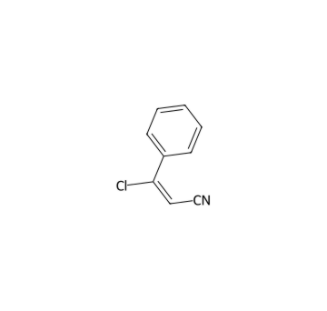 N#C/C=C(/Cl)c1ccccc1